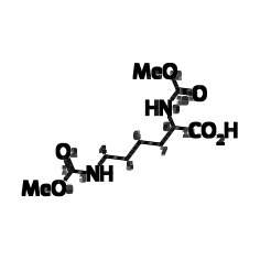 COC(=O)NCCCCC(NC(=O)OC)C(=O)O